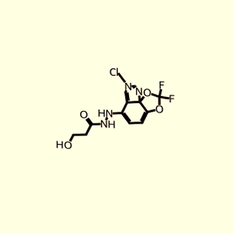 O=C(CCO)NNC1=CC=C2OC(F)(F)OC23N=CN(Cl)C=C13